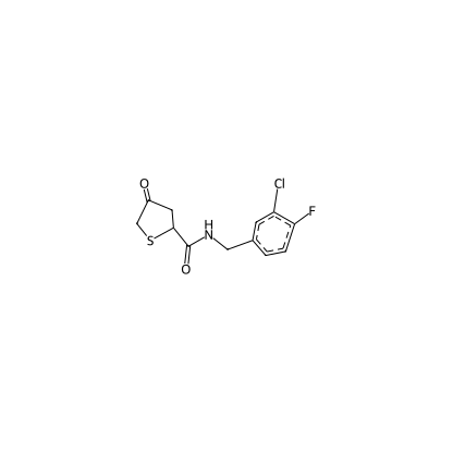 O=C1CSC(C(=O)NCc2ccc(F)c(Cl)c2)C1